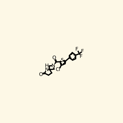 O=C1CCC2(CN(C(=O)c3sc(-c4ccc(C(F)(F)F)cc4)cc3Cl)C2)N1